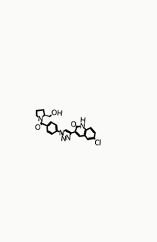 O=C(c1ccc(-n2cc(-c3cc4cc(Cl)ccc4[nH]c3=O)nn2)cc1)N1CCC[C@H]1CO